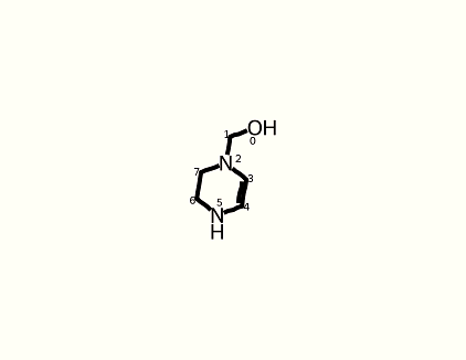 OCN1C=CNCC1